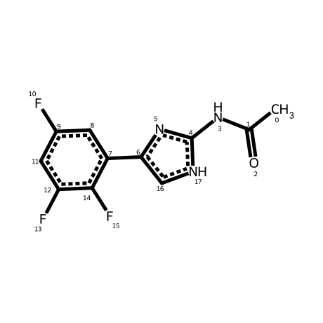 CC(=O)Nc1nc(-c2cc(F)cc(F)c2F)c[nH]1